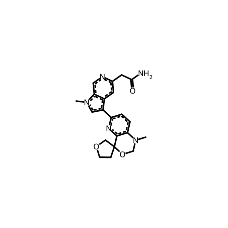 CN1COC2(CCOC2)c2nc(-c3cn(C)c4cnc(CC(N)=O)cc34)ccc21